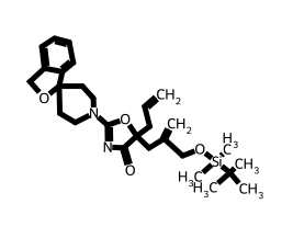 C=CCC1(CC(=C)CO[Si](C)(C)C(C)(C)C)OC(N2CCC3(CC2)OCc2ccccc23)=NC1=O